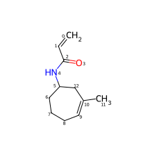 C=CC(=O)NC1CCCC=C(C)C1